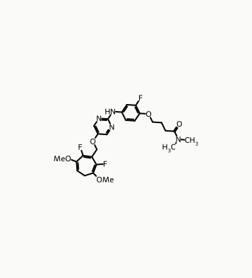 COC1=CCC(OC)=C(F)C(COc2cnc(Nc3ccc(OCCCC(=O)N(C)C)c(F)c3)nc2)=C1F